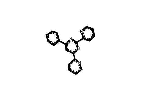 c1ccc(-c2cc(-c3ccccn3)nc(-c3ccccn3)n2)cc1